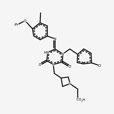 Cc1cc(/N=c2\[nH]c(=O)n(CC3CN(CC(=O)O)C3)c(=O)n2Cc2ccc(Cl)cc2)ccc1OC(C)C